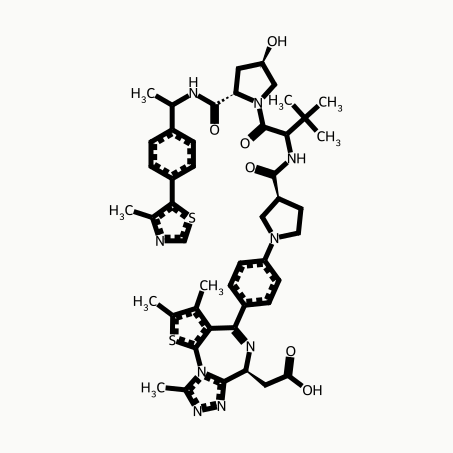 Cc1ncsc1-c1ccc(C(C)NC(=O)[C@@H]2C[C@@H](O)CN2C(=O)C(NC(=O)[C@H]2CCN(c3ccc(C4=N[C@@H](CC(=O)O)c5nnc(C)n5-c5sc(C)c(C)c54)cc3)C2)C(C)(C)C)cc1